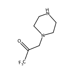 O=C(CN1CCNCC1)C(F)(F)F